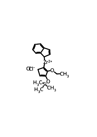 CCOC1=[C]([Zr+2][CH]2C=Cc3ccccc32)CC=C1O[Si](C)(C)C.[Cl-].[Cl-]